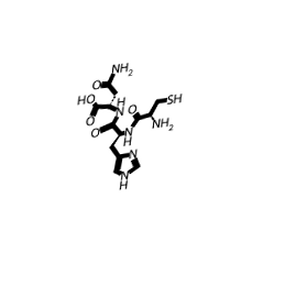 NC(=O)C[C@H](NC(=O)[C@H](Cc1c[nH]cn1)NC(=O)[C@@H](N)CS)C(=O)O